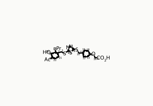 CCCc1c(CSc2nnc(SCc3ccc(OCC(=O)O)cc3)s2)ccc(C(C)=O)c1O